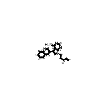 C=C[C@H](C)CCn1cc(-c2cnc3ccccc3c2)c2c(N)ncnc21